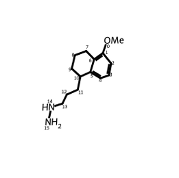 COc1cccc2c1CCCC2CCCNN